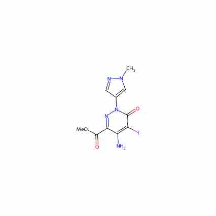 COC(=O)c1nn(-c2cnn(C)c2)c(=O)c(I)c1N